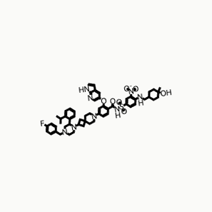 CC(C)c1ccccc1C1CN(Cc2ccc(F)cc2)CCN1C1CC2(CCN(c3ccc(C(=O)NS(=O)(=O)c4ccc(NCC5CCC(C)(O)CC5)c([N+](=O)[O-])c4)c(Oc4cnc5[nH]ccc5c4)c3)CC2)C1